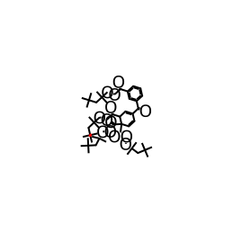 CC(C)(C)CC(C)(C)OOC(=O)c1cccc(C(=O)C2=CC(C(=O)OOC(C)(C)CC(C)(C)C)C(C(=O)OOC(C)(C)CC(C)(C)C)(C(=O)OOC(C)(C)CC(C)(C)C)C=C2)c1